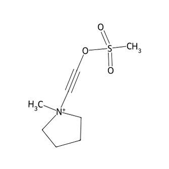 C[N+]1(C#COS(C)(=O)=O)CCCC1